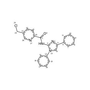 O=C(Nc1nc(-c2ccccc2)cn1-c1ccccc1)c1ccc(CCl)cn1